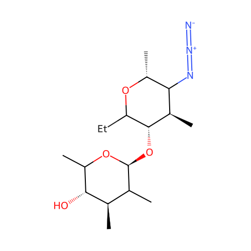 CCC1O[C@H](C)C(N=[N+]=[N-])[C@@H](C)[C@@H]1O[C@@H]1OC(C)[C@@H](O)[C@H](C)C1C